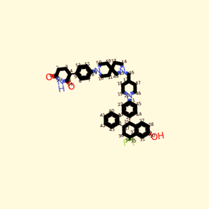 O=C1CC[C@@H](c2ccc(N3CCC4(CCN(CC5CCN(c6ccc([C@@H]7c8ccc(O)cc8C(F)(F)C[C@@H]7c7ccccc7)cc6)CC5)C4)CC3)cc2)C(=O)N1